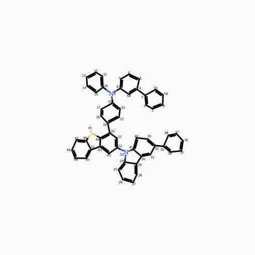 c1ccc(-c2cccc(N(c3ccccc3)c3ccc(-c4cc(-n5c6ccccc6c6cc(-c7ccccc7)ccc65)cc5c4sc4ccccc45)cc3)c2)cc1